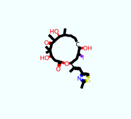 C/C(=C\c1csc(C)n1)[C@@H]1CC(I)C(O)CCCC(C)[C@H](O)C(C)C(=O)C(C)(C)C(O)CC(=O)O1